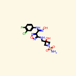 NS(=O)(=O)N1CC(O)(CNc2nonc2/C(=N/O)Nc2ccc(F)c(Cl)c2)C1